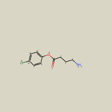 NCCCC(=O)Oc1ccc(Cl)cc1